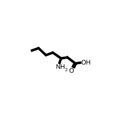 CCCCC(N)[CH]C(=O)O